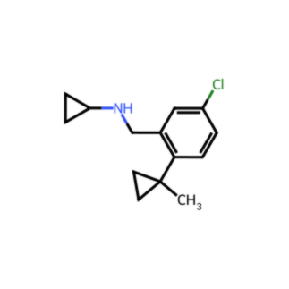 CC1(c2ccc(Cl)cc2CNC2CC2)CC1